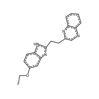 FCOc1ccc2[nH]c(CCc3cnc4ccccc4n3)nc2c1